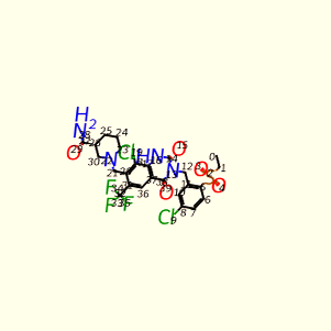 CCS(=O)(=O)c1ccc(Cl)cc1Cn1c(=O)[nH]c2c(Cl)c(CN3CCC[C@H](C(N)=O)C3)c(C(F)(F)F)cc2c1=O